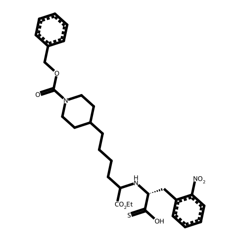 CCOC(=O)C(CCCCC1CCN(C(=O)OCc2ccccc2)CC1)N[C@H](Cc1ccccc1[N+](=O)[O-])C(O)=S